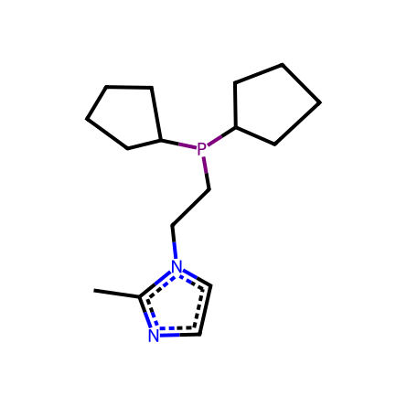 Cc1nccn1CCP(C1CCCC1)C1CCCC1